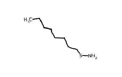 CCCCCCCCSN